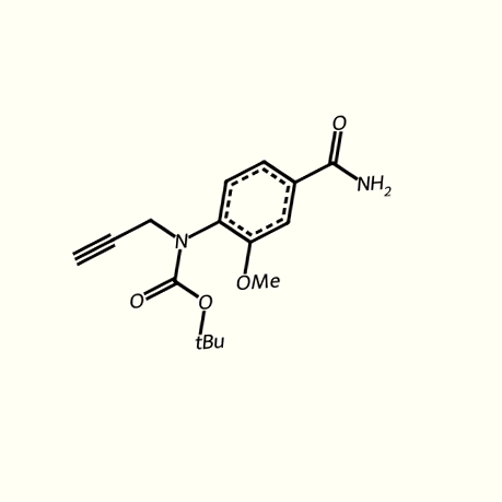 C#CCN(C(=O)OC(C)(C)C)c1ccc(C(N)=O)cc1OC